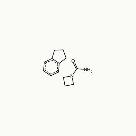 NC(=O)N1CCC1.c1ccc2c(c1)CCC2